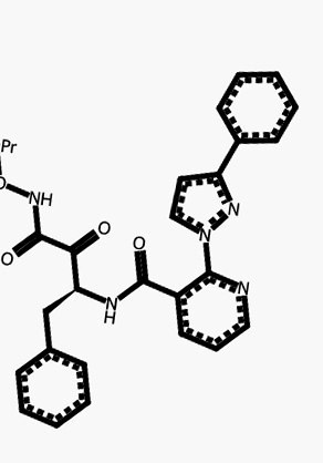 CCCONC(=O)C(=O)[C@H](Cc1ccccc1)NC(=O)c1cccnc1-n1ccc(-c2ccccc2)n1